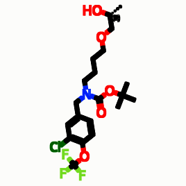 C[C@@H](O)COCCCCN(Cc1ccc(OC(F)(F)F)c(Cl)c1)C(=O)OC(C)(C)C